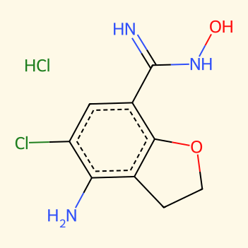 Cl.N=C(NO)c1cc(Cl)c(N)c2c1OCC2